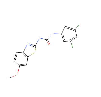 CCOc1ccc2nc(NC(=O)Nc3cc(Cl)cc(Cl)c3)sc2c1